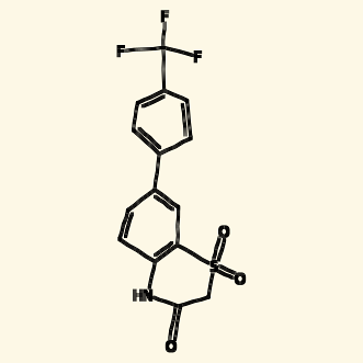 O=C1CS(=O)(=O)c2cc(-c3ccc(C(F)(F)F)cc3)ccc2N1